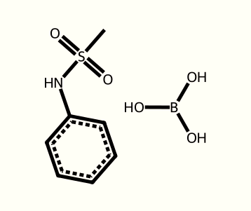 CS(=O)(=O)Nc1ccccc1.OB(O)O